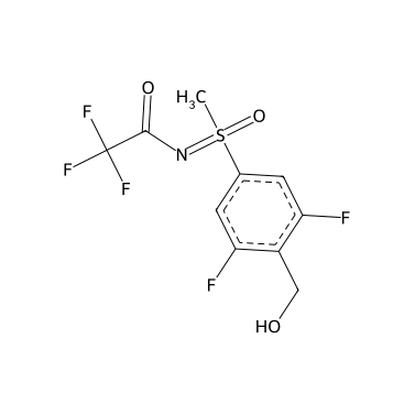 CS(=O)(=NC(=O)C(F)(F)F)c1cc(F)c(CO)c(F)c1